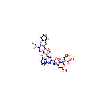 CCC(C)C(=O)N[C@@H](Cc1ccccc1)C(=O)N[C@@H](Cc1ccccc1)C(=O)NC[C@H](N)C(=O)NC(CC(=O)O)C(=O)NC(CS)C(=O)O